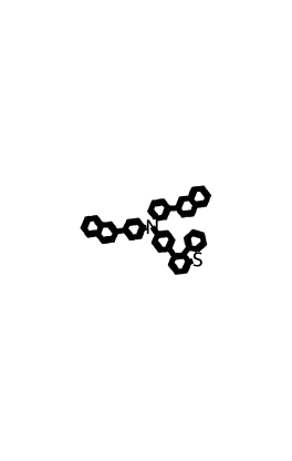 c1cc(-c2ccc3ccccc3c2)cc(N(c2ccc(-c3ccc4ccccc4c3)cc2)c2ccc(-c3cccc4sc5ccccc5c34)cc2)c1